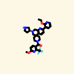 CCOc1ncccc1-c1ccc2c(n1)CN([C@@H]1CCNC1)CC21CCN(C(=O)c2ccc(OC)nc2C(F)(F)F)CC1